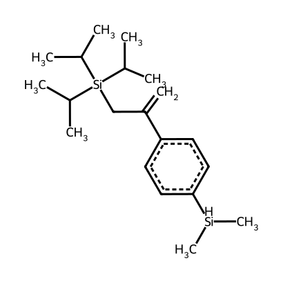 C=C(C[Si](C(C)C)(C(C)C)C(C)C)c1ccc([SiH](C)C)cc1